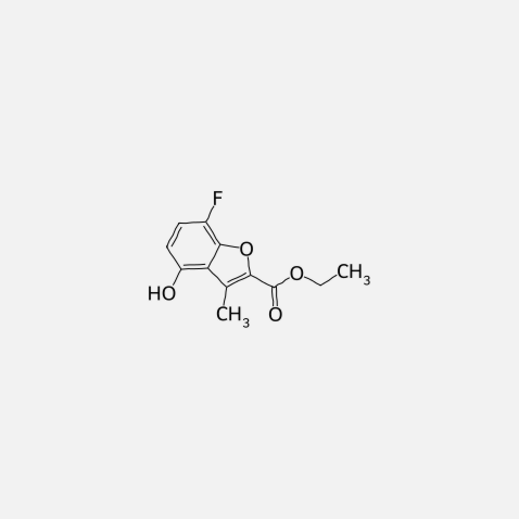 CCOC(=O)c1oc2c(F)ccc(O)c2c1C